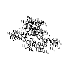 CC1(C)CC(Oc2nc(OC3CC(C)(C)NC(C)(C)C3)nc(N(CCCN(c3nc(OC4CC(C)(C)NC(C)(C)C4)nc(OC4CC(C)(C)NC(C)(C)C4)n3)C3CC(C)(C)NC(C)(C)C3)CCCN(c3nc(OC4CC(C)(C)NC(C)(C)C4)nc(OC4CC(C)(C)NC(C)(C)C4)n3)C3CC(C)(C)NC(C)(C)C3)n2)CC(C)(C)N1